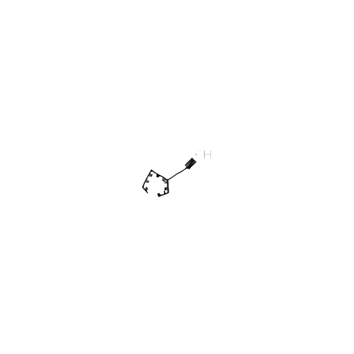 C#Cc1[c]coc1